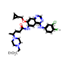 CCOC(=O)CN1CCN(C(C)C=CC(=O)Nc2cc3c(Nc4ccc(F)c(Cl)c4)ncnc3cc2OCC2CC2)CC1